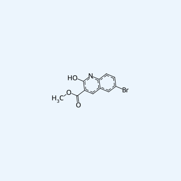 COC(=O)c1cc2cc(Br)ccc2nc1O